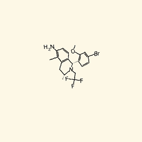 COc1cc(Br)ccc1[C@H]1c2ccc(N)c(C)c2C[C@@H](C)N1CC(F)(F)F